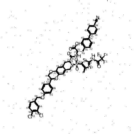 Cc1nc(NC(=O)C(F)(F)F)sc1S(=O)(=O)N1Cc2cc3c(cc2C[C@H]1C(=O)N[C@@H](Cc1ccc(-c2ccc(C#N)cc2)cc1)C(=O)O)OCC(c1ccc(OCc2ccc(Cl)c(Cl)c2)cc1)O3